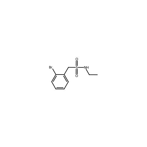 CCNS(=O)(=O)Cc1ccccc1Br